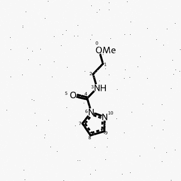 COCCNC(=O)n1cc[c]n1